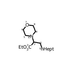 CCCCCCCCC(C(=O)OCC)N1CCOCC1